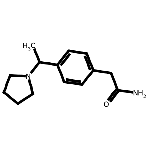 CC(c1ccc(CC(N)=O)cc1)N1CCCC1